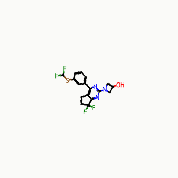 OC1CN(c2nc(-c3cccc(SC(F)F)c3)c3c(n2)C(F)(F)CC3)C1